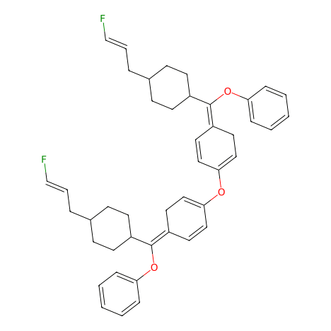 FC=CCC1CCC(C(Oc2ccccc2)=C2C=CC(OC3=CCC(=C(Oc4ccccc4)C4CCC(CC=CF)CC4)C=C3)=CC2)CC1